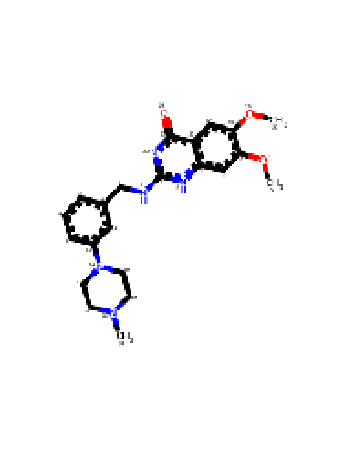 COc1cc2[nH]c(NCc3cccc(N4CCN(C)CC4)c3)nc(=O)c2cc1OC